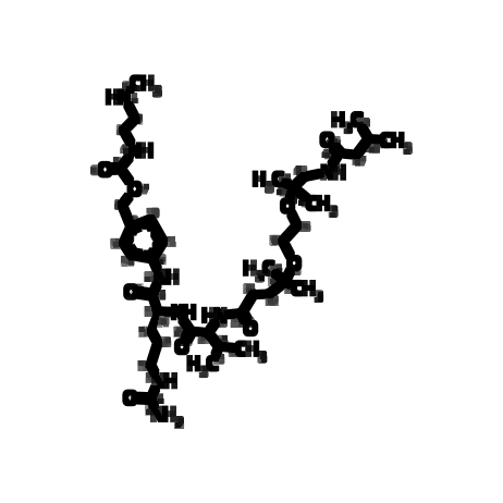 CNCCNC(=O)OCc1ccc(NC(=O)[C@H](CCCNC(N)=O)NC(=O)C(NC(=O)CCC(C)(C)OCCOC(C)(C)CNC(=O)CC(C)C)C(C)C)cc1